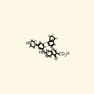 O=C(O)c1cn(-c2ccc3c(c2)CCC3)c2nc(Nc3cccc(N4CCNCC4)c3)ncc2c1=O